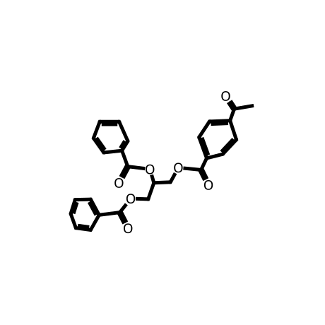 CC(=O)c1ccc(C(=O)OCC(COC(=O)c2ccccc2)OC(=O)c2ccccc2)cc1